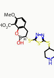 COc1ccc2c(c1C(=O)O)OB(O)[C@@H](Sc1nnc(SC3CCNCC3)s1)C2